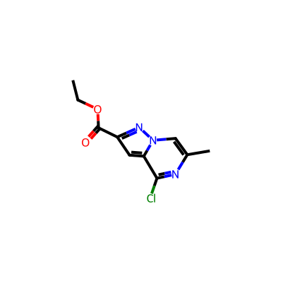 CCOC(=O)c1cc2c(Cl)nc(C)cn2n1